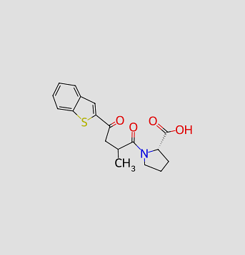 CC(CC(=O)c1cc2ccccc2s1)C(=O)N1CCC[C@H]1C(=O)O